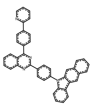 c1ccc(-c2ccc(-c3nc(-c4ccc(-n5c6ccccc6c6cc7ccccc7cc65)cc4)nc4ccccc34)cc2)nc1